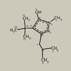 CC(C)Cc1nn(C)c(O)c1C(C)(C)C